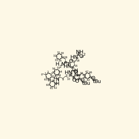 Cc1ccc(C(NCCCC[C@H](NC(=O)[C@H](CCCNC(N)=O)NC(=O)[C@@H](N)Cc2ccccc2)C(=O)N[C@@H](Cc2ccc(OC(C)(C)C)cc2)C(=O)OC(C)(C)C)(c2ccccc2)c2ccccc2)cc1